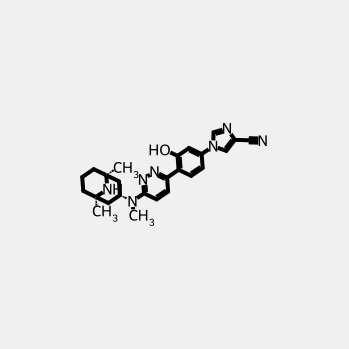 CN(c1ccc(-c2ccc(-n3cnc(C#N)c3)cc2O)nn1)[C@H]1C[C@]2(C)CCC[C@](C)(C1)N2